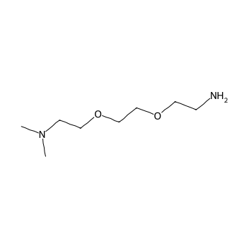 CN(C)CCOCCOCCN